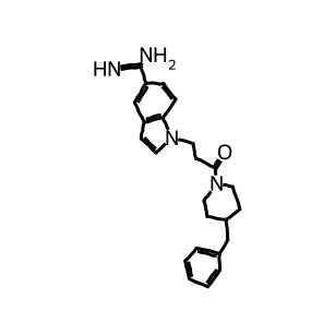 N=C(N)c1ccc2c(ccn2CCC(=O)N2CCC(Cc3ccccc3)CC2)c1